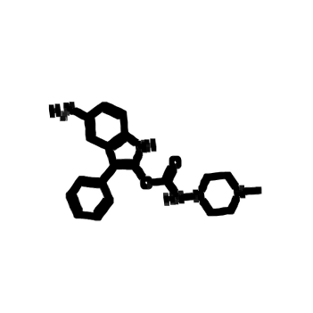 CN1CCN(NC(=O)Oc2[nH]c3ccc(N)cc3c2-c2ccccc2)CC1